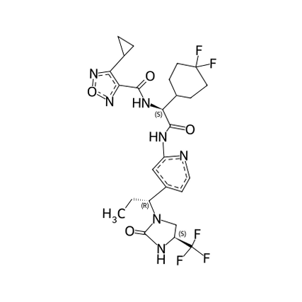 CC[C@H](c1ccnc(NC(=O)[C@@H](NC(=O)c2nonc2C2CC2)C2CCC(F)(F)CC2)c1)N1C[C@@H](C(F)(F)F)NC1=O